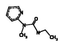 CC[N]C(=O)N(C)c1ccccn1